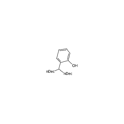 CCCCCCCCCCC(CCCCCCCCCC)c1ccccc1O